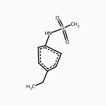 CCc1ccc(NS(C)(=O)=O)cc1